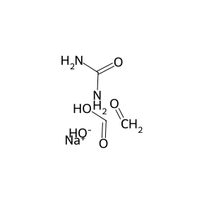 C=O.NC(N)=O.O=CO.[Na+].[OH-]